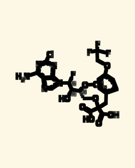 CO[C@H](COC(Cc1ccc(OCC(F)(F)F)cc1)(C(=O)O)C(=O)O)[C@@H](O)[C@H](F)n1cnc2c(N)nc(Cl)nc21